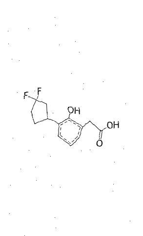 O=C(O)Cc1cccc(C2CCC(F)(F)C2)c1O